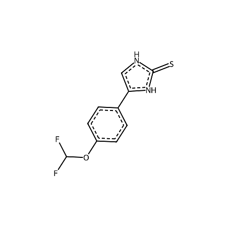 FC(F)Oc1ccc(-c2c[nH]c(=S)[nH]2)cc1